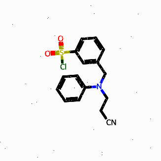 N#CCCN(Cc1cccc(S(=O)(=O)Cl)c1)c1ccccc1